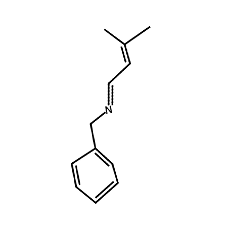 CC(C)=C/C=N/Cc1ccccc1